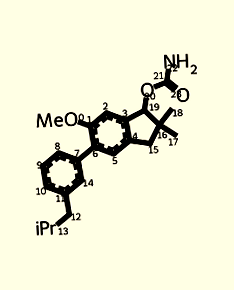 COc1cc2c(cc1-c1cccc(CC(C)C)c1)CC(C)(C)C2OC(N)=O